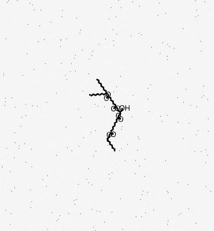 CCCCCC/C=C\COC(=O)CCCCCCCC(=O)OCC(CO)COC(=O)CCCCCC(=O)OC(CCCCCCCC)CCCCCCCC